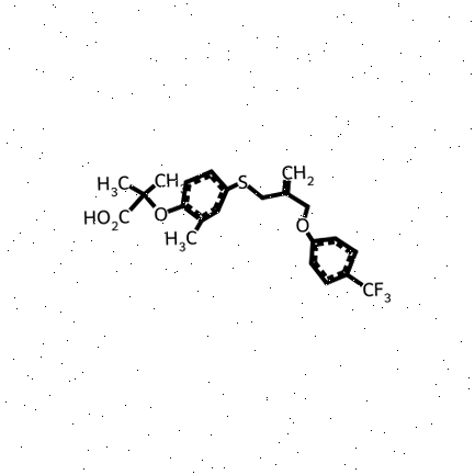 C=C(COc1ccc(C(F)(F)F)cc1)CSc1ccc(OC(C)(C)C(=O)O)c(C)c1